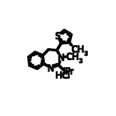 Cc1ccsc1C1Cc2ccccc2N=C(C(C)C)N1C.Cl